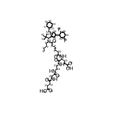 CCCCN(C(=O)CSCCC(=O)N[C@@H](CCC(=O)O)C(=O)NCCNC(=O)CNC(=O)CCC(=O)O)[C@@H](c1cc(-c2cc(F)ccc2F)cn1Cc1ccccc1)C(C)(C)C